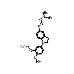 CCCCCCCCOc1cc(N2CCc3cc(SOON(CCCC)CCCC)ccc32)ccc1N=N